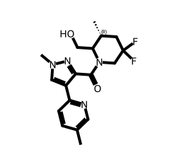 Cc1ccc(-c2cn(C)nc2C(=O)N2CC(F)(F)C[C@@H](C)C2CO)nc1